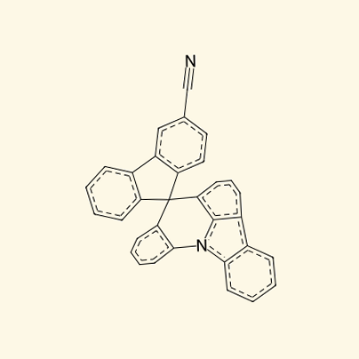 N#Cc1ccc2c(c1)-c1ccccc1C21c2ccccc2-n2c3ccccc3c3cccc1c32